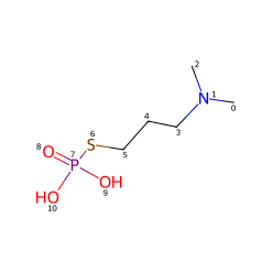 CN(C)CCCSP(=O)(O)O